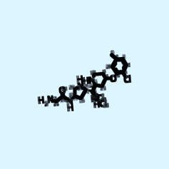 Cc1ccc(Cl)c(OC2CCNC(C(=O)[C@@H]3C[C@@H](NC(=O)CN)CN3)C2)c1.Cl.Cl